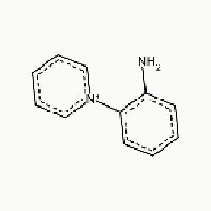 Nc1ccccc1-[n+]1ccccc1